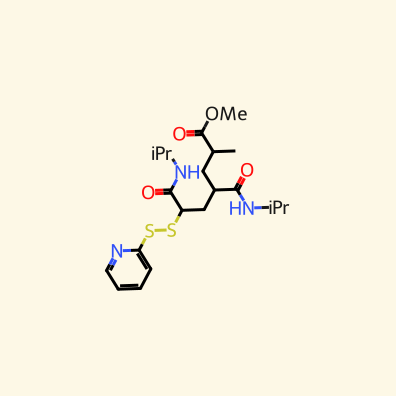 COC(=O)C(C)CC(CC(SSc1ccccn1)C(=O)NC(C)C)C(=O)NC(C)C